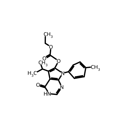 CCOC(=O)Oc1c(C(C)C)c2c(=O)[nH]cnc2n1-c1ccc(C)cc1